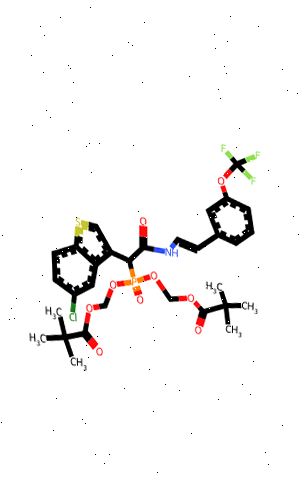 CC(C)(C)C(=O)OCOP(=O)(OCOC(=O)C(C)(C)C)C(C(=O)NC=Cc1cccc(OC(F)(F)F)c1)c1csc2ccc(Cl)cc12